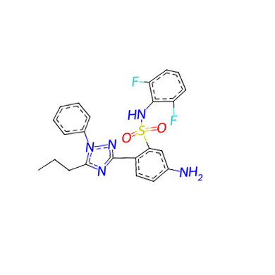 CCCc1nc(-c2ccc(N)cc2S(=O)(=O)Nc2c(F)cccc2F)nn1-c1ccccc1